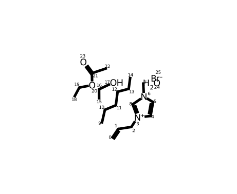 C=CC[n+]1ccn(C)c1.CCCCCC.CCO.CCOC(C)=O.O.[Br-]